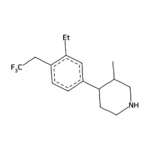 CCc1cc(C2CCNCC2C)ccc1CC(F)(F)F